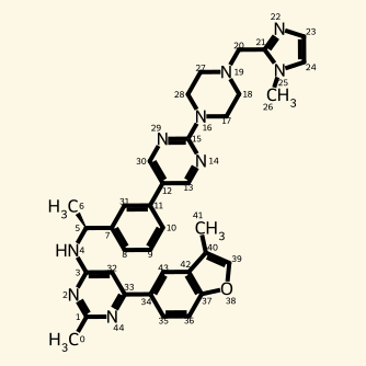 Cc1nc(N[C@@H](C)c2cccc(-c3cnc(N4CCN(Cc5nccn5C)CC4)nc3)c2)cc(-c2ccc3occ(C)c3c2)n1